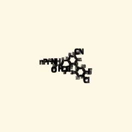 CCCNC(=O)/C(C)=C/c1cc(C#N)cc(-c2ccc(Cl)c(F)c2)c1C